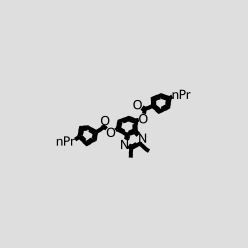 CCCc1ccc(C(=O)Oc2ccc(OC(=O)c3ccc(CCC)cc3)c3nc(C)c(C)nc23)cc1